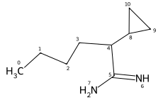 CCCCC(C(=N)N)C1CC1